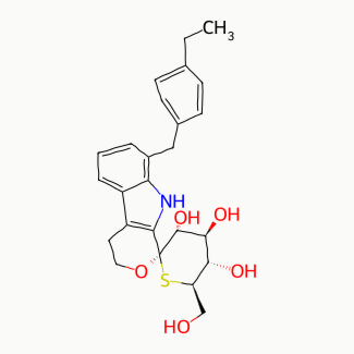 CCc1ccc(Cc2cccc3c4c([nH]c23)[C@]2(OCC4)S[C@H](CO)[C@@H](O)[C@H](O)[C@H]2O)cc1